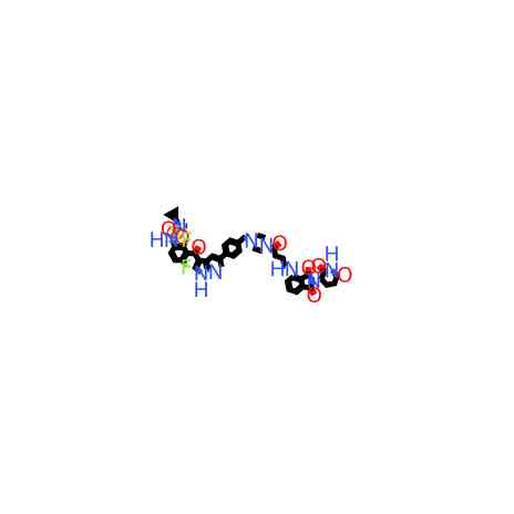 CN(C1CC1)S(=O)(=O)Nc1ccc(F)c(C(=O)c2c[nH]c3ncc(-c4ccc(CN5CCN(C(=O)CCCNc6cccc7c6C(=O)N(C6CCC(=O)NC6=O)C7=O)CC5)cc4)cc23)c1F